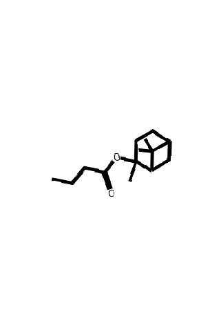 CCCC(=O)OC1(C)CCC2CC1C2(C)C